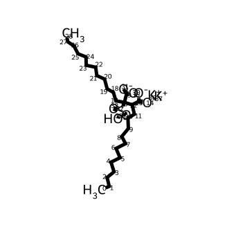 CCCCCCCCCCCCC(C(=O)[O-])C(CCCCCCCCCCCC)(C(=O)[O-])S(=O)(=O)O.[K+].[K+]